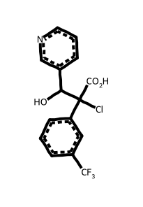 O=C(O)C(Cl)(c1cccc(C(F)(F)F)c1)C(O)c1cccnc1